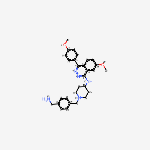 COc1ccc(-c2nnc(NC3CCN(Cc4ccc(CN)cc4)CC3)c3cc(OC)ccc23)cc1